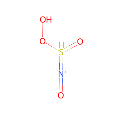 O=[N+]=[SH](=O)OO